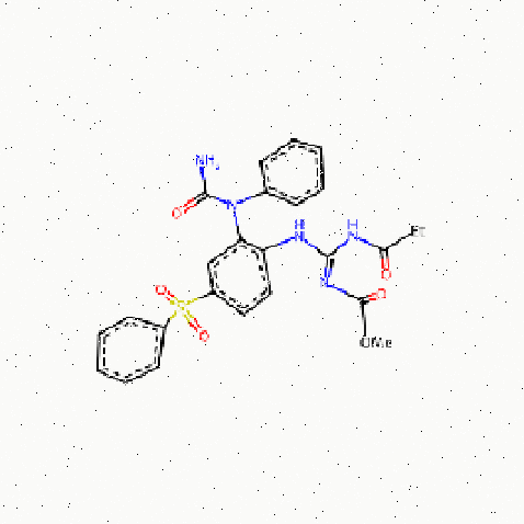 CCC(=O)NC(=NC(=O)OC)Nc1ccc(S(=O)(=O)c2ccccc2)cc1N(C(N)=O)c1ccccc1